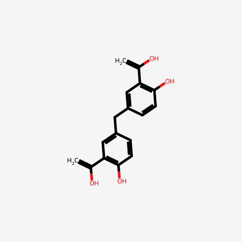 C=C(O)c1cc(Cc2ccc(O)c(C(=C)O)c2)ccc1O